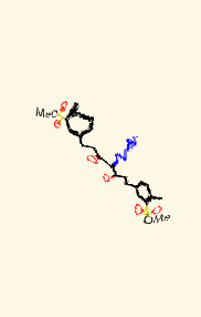 COS(=O)(=O)c1cc(CCC(=O)C(=[N+]=[N-])C(=O)CCc2ccc(C)c(S(=O)(=O)OC)c2)ccc1C